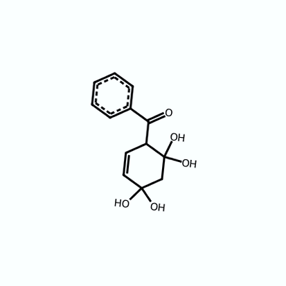 O=C(c1ccccc1)C1C=CC(O)(O)CC1(O)O